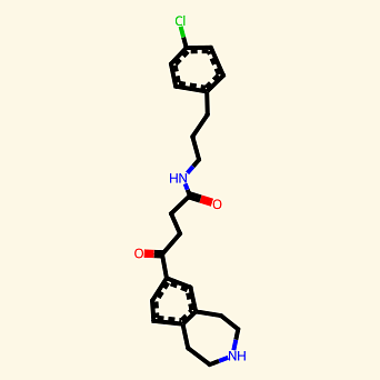 O=C(CCC(=O)c1ccc2c(c1)CCNCC2)NCCCc1ccc(Cl)cc1